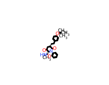 CNC(=O)[C@@H]1C(=O)C[C@@H](CCc2ccc(OC(C)(C)C)cc2)C(=O)N1c1ccccc1